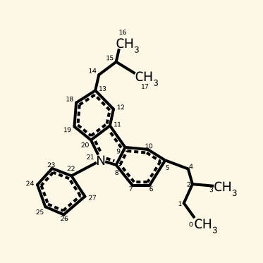 CCC(C)Cc1ccc2c(c1)c1cc(CC(C)C)ccc1n2-c1ccccc1